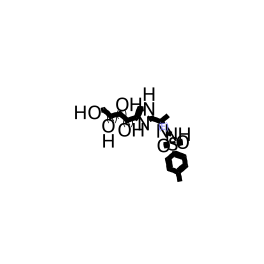 C/C(=N\NS(=O)(=O)c1ccc(C)cc1)c1nc([C@@H](O)[C@H](O)[C@H](O)CO)c[nH]1